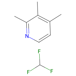 Cc1ccnc(C)c1C.FC(F)F